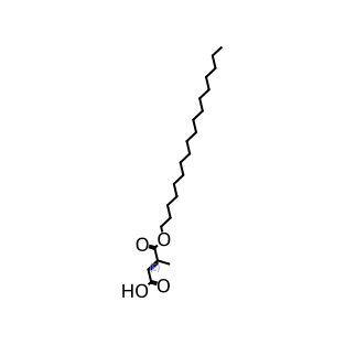 CCCCCCCCCCCCCCCCCCOC(=O)/C(C)=C/C(=O)O